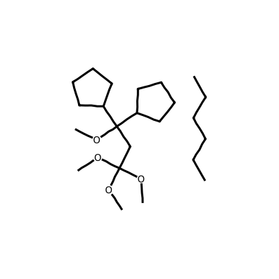 CCCCCC.COC(CC(OC)(C1CCCC1)C1CCCC1)(OC)OC